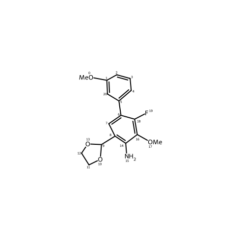 COc1cccc(-c2cc(C3OCCO3)c(N)c(OC)c2F)c1